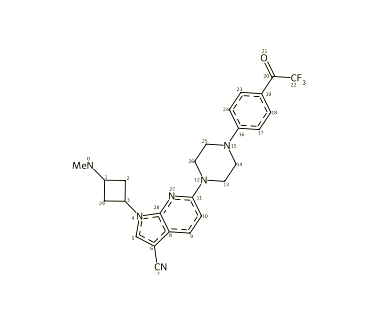 CNC1CC(n2cc(C#N)c3ccc(N4CCN(c5ccc(C(=O)C(F)(F)F)cc5)CC4)nc32)C1